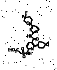 CCOC(=O)CS(=O)(=O)Nc1ccc(C(=O)Nc2nccc(N3CCC(F)(F)CC3)n2)c(N2CCC3(CC2)CC3)n1